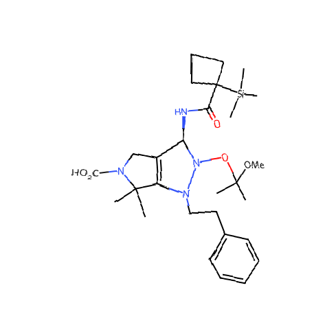 COC(C)(C)ON1[C@H](NC(=O)C2([Si](C)(C)C)CCC2)C2=C(N1CCc1ccccc1)C(C)(C)N(C(=O)O)C2